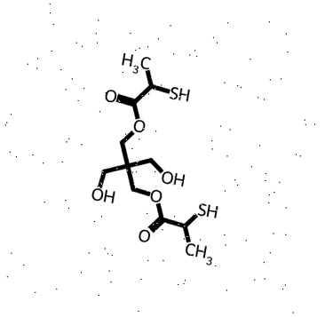 CC(S)C(=O)OCC(CO)(CO)COC(=O)C(C)S